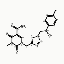 Cc1ccc([C@@H](O)Cn2nnc(Cn3cc(C(N)=O)c(=O)n(C)c3=O)n2)cc1